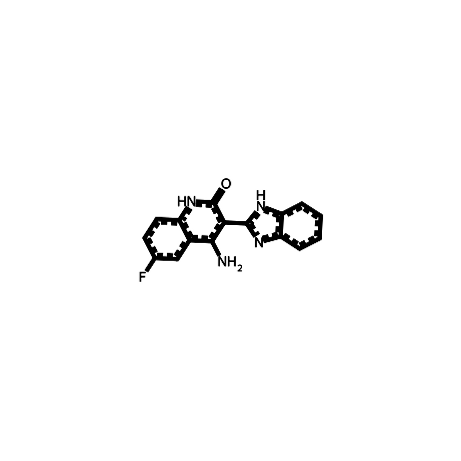 Nc1c(-c2nc3ccccc3[nH]2)c(=O)[nH]c2ccc(F)cc12